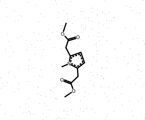 COC(=O)Cc1ccc(CC(=O)OC)n1C